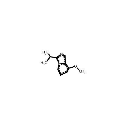 COc1cccn2c(C(C)C)ncc12